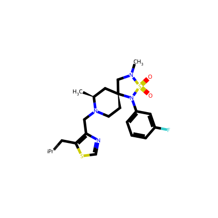 CC(C)Cc1scnc1CN1CC[C@@]2(C[C@@H]1C)CN(C)S(=O)(=O)N2c1cccc(F)c1